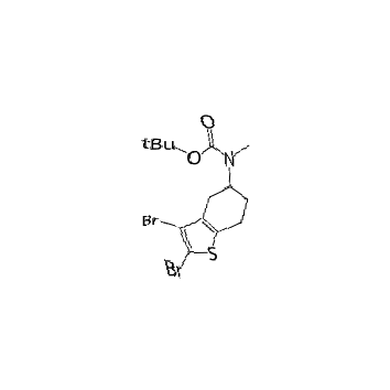 CN(C(=O)OC(C)(C)C)C1CCc2sc(Br)c(Br)c2C1